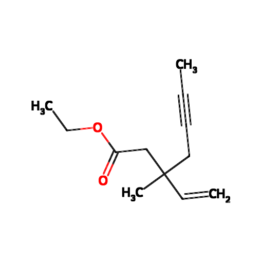 C=CC(C)(CC#CC)CC(=O)OCC